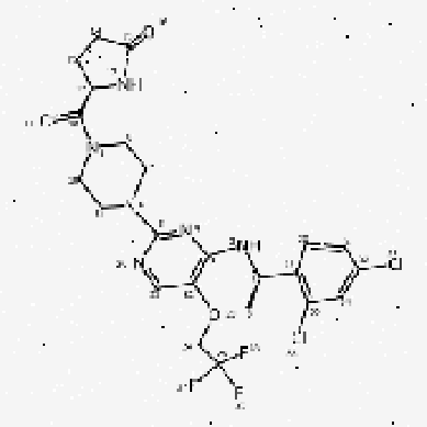 C[C@@H](Nc1nc(N2CCN(C(=O)[C@H]3CCC(=O)N3)CC2)ncc1OCC(F)(F)F)c1ccc(Cl)cc1Cl